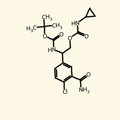 CC(C)(C)OC(=O)NC(COC(=O)NC1CC1)c1ccc(Cl)c(C(N)=O)c1